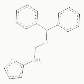 c1ccc(C(OC[SiH2]c2ccco2)c2ccccc2)cc1